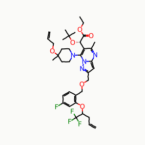 C=CCOC1(C)CCN(c2c([C@H](OC(C)(C)C)C(=O)OCC)c(C)nc3cc(COCc4ccc(F)cc4OC(CC=C)C(F)(F)F)nn23)CC1